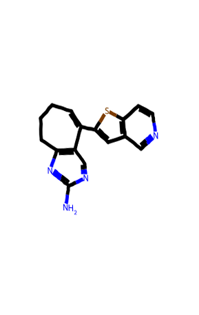 Nc1ncc2c(n1)CCCC=C2c1cc2cnccc2s1